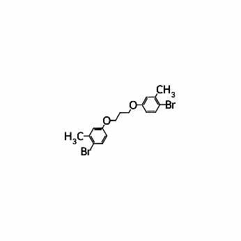 Cc1cc(OCCCOc2ccc(Br)c(C)c2)ccc1Br